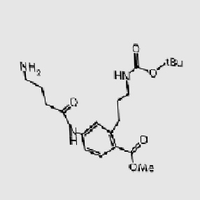 COC(=O)c1ccc(NC(=O)CCCN)cc1CCCNC(=O)OC(C)(C)C